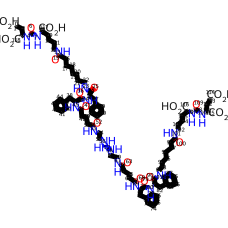 O=C(O)CCC(NC(=O)NC(CCCCNC(=O)CCCCCCCNC(=O)C(Cc1ccccc1)NC(=O)C(Cc1ccccc1)NC(=O)CCCC(=O)NCCNNNCCNC(=O)CCCC(=O)NC(Cc1ccccc1)C(=O)NC(Cc1ccccc1)C(=O)NCCCCCCCC(=O)NCCCCC(NC(=O)NC(CCC(=O)O)C(=O)O)C(=O)O)C(=O)O)C(=O)O